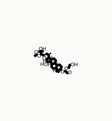 CC(=O)O[C@@H]([C@H]1C[C@@H](C)C2[C@H](O1)[C@H](O)[C@@]1(C)[C@@H]3CC[C@H]4C(C)(C)[C@@H](O[C@@H](C=O)OCCO)CC[C@]4(C)[C@]3(C)CC[C@]21C)C(C)(C)O